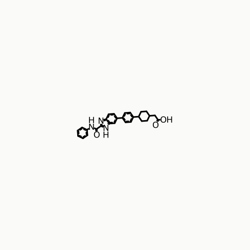 O=C(O)CC1CCC(c2ccc(-c3ccc4nc(C(=O)Nc5ccccc5)[nH]c4c3)cc2)CC1